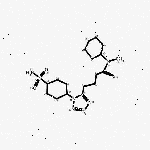 CN(C(=S)CCCc1nnnn1C1CCC(S(N)(=O)=O)CC1)C1CCCCC1